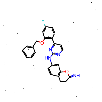 N=C1CCc2ccc(Nc3nccc(-c4ccc(F)cc4OCc4ccccc4)n3)cc2O1